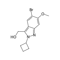 COc1cc2nn(C3CCC3)c(CO)c2cc1Br